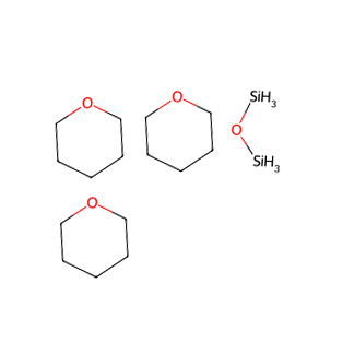 C1CCOCC1.C1CCOCC1.C1CCOCC1.[SiH3]O[SiH3]